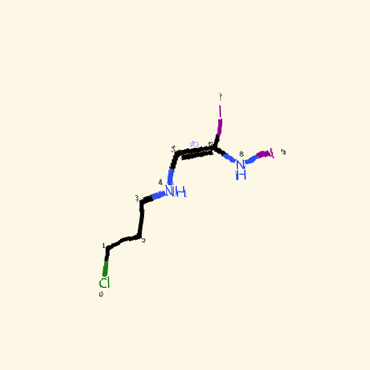 ClCCCN/C=C(/I)NI